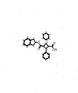 O=C(O)C1C(c2ccccc2)C(C(=O)OC2Cc3ccccc3C2)[C@@H]1c1ccccc1